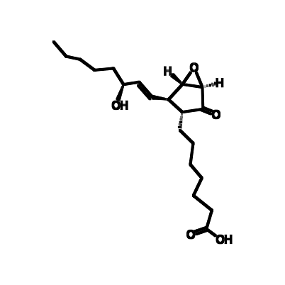 CCCCC[C@H](O)C=C[C@H]1[C@@H]2O[C@H]2C(=O)[C@@H]1CCCCCCC(=O)O